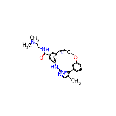 Cc1cnc2nc1-c1cccc(c1)OCC/C=C\c1cc(cc(C(=O)NCCN(C)C)c1)N2